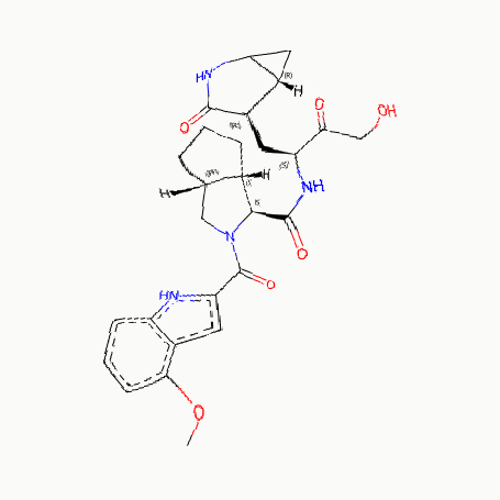 COc1cccc2[nH]c(C(=O)N3C[C@@H]4CCC[C@@H]4[C@H]3C(=O)N[C@@H](C[C@H]3C(=O)NC4C[C@@H]43)C(=O)CO)cc12